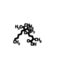 CCCCCCC(OC(=O)CCC(C)C(=O)O)(C(C)C)C(C)C